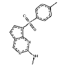 CNc1ncc2ccn(S(=O)(=O)c3ccc(C)cc3)c2n1